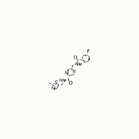 Cc1ncc(CNC(=O)c2cnc(CNC(=O)c3cccc(F)c3)cn2)s1